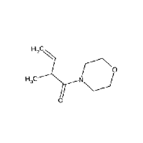 C=CC(C)C(=O)N1CCOCC1